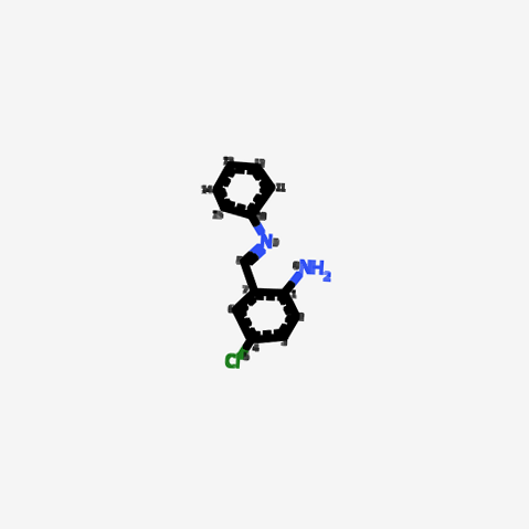 Nc1ccc(Cl)cc1C=Nc1ccccc1